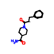 NC(=O)C1CCN(C(=O)[CH]Cc2ccccc2)CC1